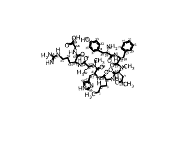 CCCC[C@H](NC(=O)[C@H](CC(C)C)N(C)C(=O)[C@H](Cc1ccccc1)NC(=O)[C@@H](N)Cc1ccc(O)cc1)C(=O)N[C@@H](Cc1c[nH]cn1)C(=O)N(C)[C@@H](C)C(=O)N[C@@H](CCCNC(=N)N)C(=O)NCC(=O)O